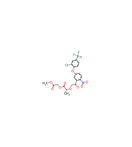 COC(=O)COC(=O)C(C)OCC(=O)c1cc(Oc2ccc(C(F)(F)F)cc2Cl)ccc1[N+](=O)[O-]